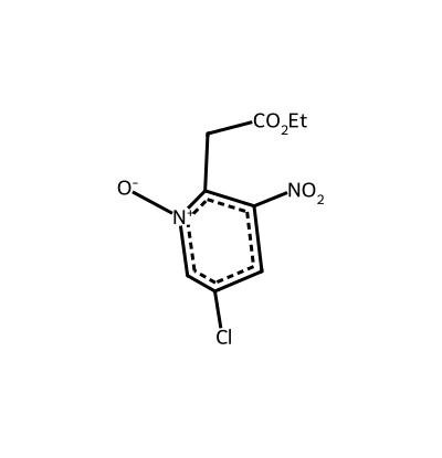 CCOC(=O)Cc1c([N+](=O)[O-])cc(Cl)c[n+]1[O-]